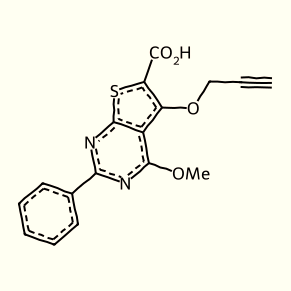 C#CCOc1c(C(=O)O)sc2nc(-c3ccccc3)nc(OC)c12